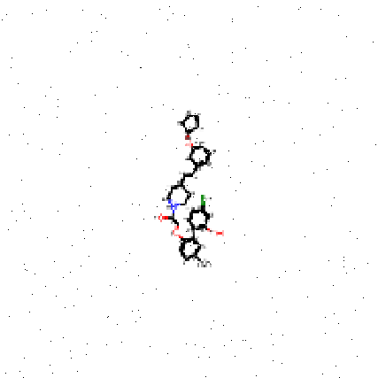 N#Cc1ccc(OCC(=O)N2CCC(CCc3cccc(OC4CCCC4)c3)CC2)c(-c2ccc(F)cc2O)c1